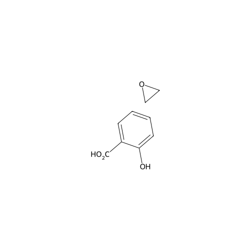 C1CO1.O=C(O)c1ccccc1O